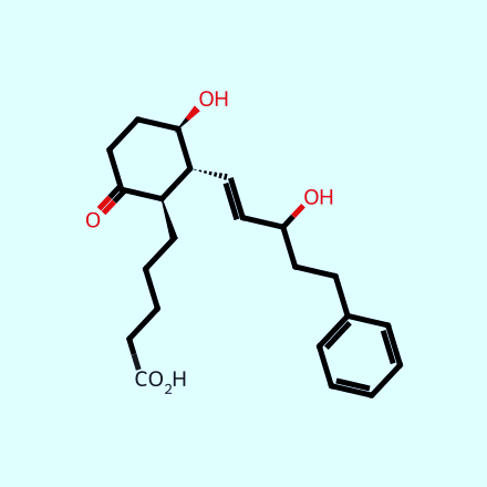 O=C(O)CCCC[C@H]1C(=O)CC[C@@H](O)[C@@H]1/C=C/C(O)CCc1ccccc1